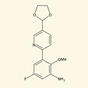 COc1c(N)cc(F)cc1-c1ccc(C2OCCO2)cn1